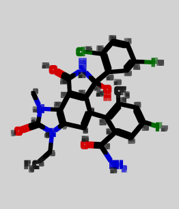 Cn1c(=O)n(CC(F)(F)F)c2cc(-c3c(C(N)=O)cc(F)cc3C(F)(F)F)c3c(c21)C(=O)NC3(O)c1cc(F)ccc1Cl